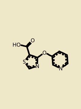 O=C(O)c1scnc1Oc1cccnc1